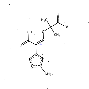 CC(C)(O/N=C(\C(=O)O)c1csc(N)n1)C(=O)O